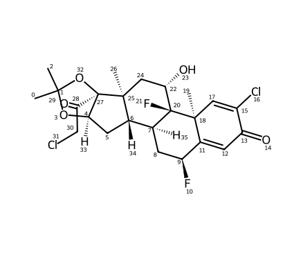 CC1(C)O[C@@H]2C[C@H]3[C@@H]4C[C@H](F)C5=CC(=O)C(Cl)=C[C@]5(C)[C@@]4(F)[C@@H](O)C[C@]3(C)[C@]2(C(=O)CCl)O1